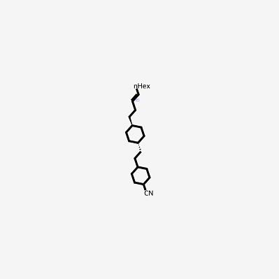 CCCCCC/C=C/CC[C@H]1CC[C@H](CCC2CCC(C#N)CC2)CC1